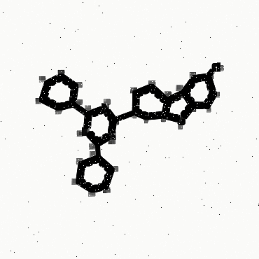 Clc1ccc2oc3cc(-c4nc(-c5ccccc5)nc(-c5ccccc5)n4)ccc3c2c1